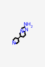 Nc1cn2cc(-c3ccncc3)ccc2n1